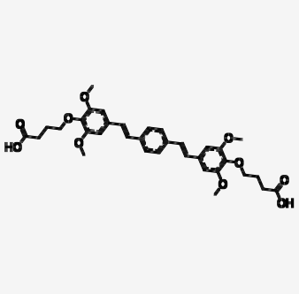 COc1cc(/C=C/c2ccc(/C=C/c3cc(OC)c(OCCCC(=O)O)c(OC)c3)cc2)cc(OC)c1OCCCC(=O)O